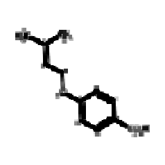 CC(C)=CCOc1ccc(C(=O)O)cc1